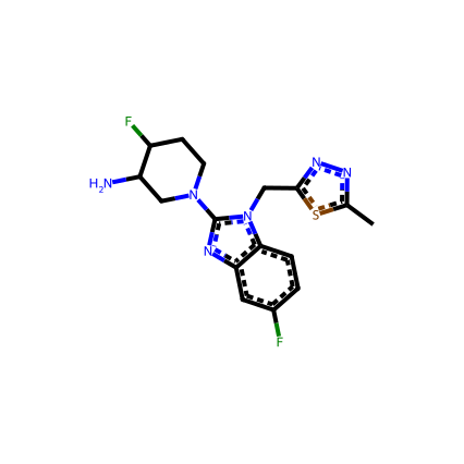 Cc1nnc(Cn2c(N3CCC(F)C(N)C3)nc3cc(F)ccc32)s1